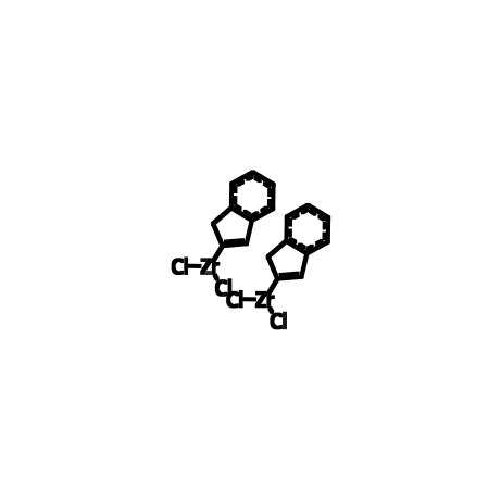 [Cl][Zr]([Cl])[C]1=Cc2ccccc2C1.[Cl][Zr]([Cl])[C]1=Cc2ccccc2C1